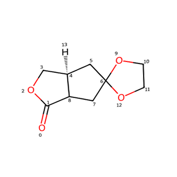 O=C1OC[C@H]2CC3(CC12)OCCO3